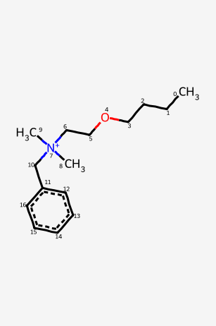 CCCCOCC[N+](C)(C)Cc1ccccc1